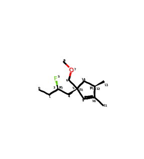 CC[C@@H](F)C[C@]1(COC)C=C(C)[C@H](C)C1